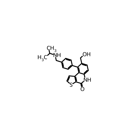 CC(C)NCc1ccc(-c2c(CO)ccc3[nH]c(=O)c4sccc4c23)cc1